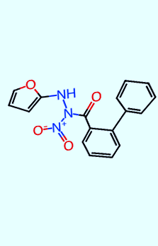 O=C(c1ccccc1-c1ccccc1)N(Nc1ccco1)[N+](=O)[O-]